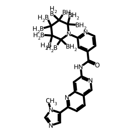 BC1(B)N(c2cc(C(=O)Nc3cc4nc(-c5cncn5C)ccc4cn3)ccn2)C(B)(B)C(B)(B)C(B)(B)C1(B)B